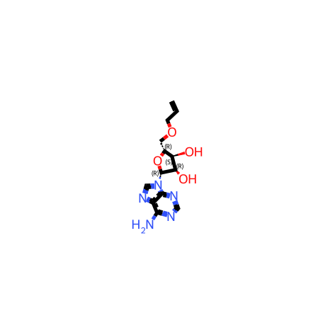 C=CCOC[C@H]1O[C@@H](n2cnc3c(N)ncnc32)[C@H](O)[C@@H]1O